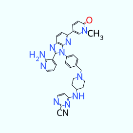 Cn1cc(-c2ccc3nc(-c4cccnc4N)n(-c4ccc(CN5CCC(Nc6ccnc(C#N)n6)CC5)cc4)c3n2)ccc1=O